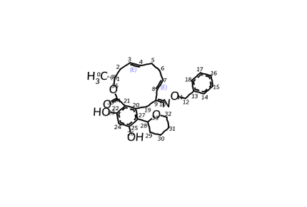 C[C@@H]1C/C=C/CC/C=C/C(=NOCc2ccccc2)Cc2c(c(O)cc(O)c2C2CCCCO2)C(=O)O1